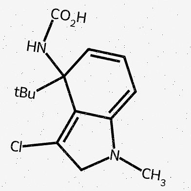 CN1CC(Cl)=C2C1=CC=CC2(NC(=O)O)C(C)(C)C